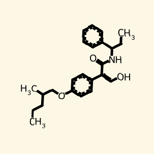 CCCC(C)COc1ccc(C(=CO)C(=O)NC(CC)c2ccccc2)cc1